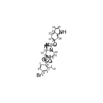 CCc1cc(Br)ccc1S(=O)(=O)N[C@H](C)c1nnc(Oc2ccc3cc[nH]c3c2)n1CC